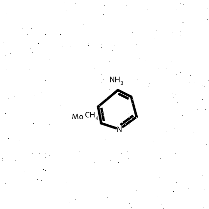 C.N.[Mo].c1ccncc1